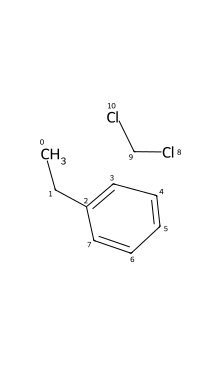 CCc1ccccc1.ClCCl